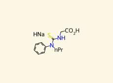 CCCN(C(=S)NCC(=O)O)c1ccccc1.[NaH]